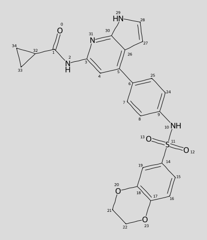 O=C(Nc1cc(-c2ccc(NS(=O)(=O)c3ccc4c(c3)OCCO4)cc2)c2cc[nH]c2n1)C1CC1